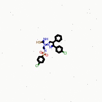 N=C(S)N(C=NS(=O)(=O)c1ccc(Cl)cc1)N1CC(c2ccccc2)C(c2ccc(Cl)cc2)=N1